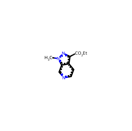 CCOC(=O)c1nn(C)c2cnccc12